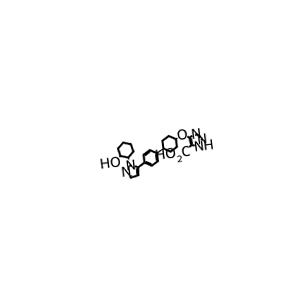 O=C(O)c1[nH]nnc1O[C@H]1CC[C@H](c2ccc(-c3ccnn3[C@H]3CCCC[C@@H]3O)cc2)CC1